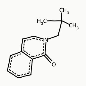 CC(C)(C)Cn1ccc2ccccc2c1=O